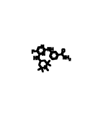 CN1C(C)(C)CC(Nc2nc(Nc3cccc(C(N)=O)c3)ncc2F)CC1(C)C